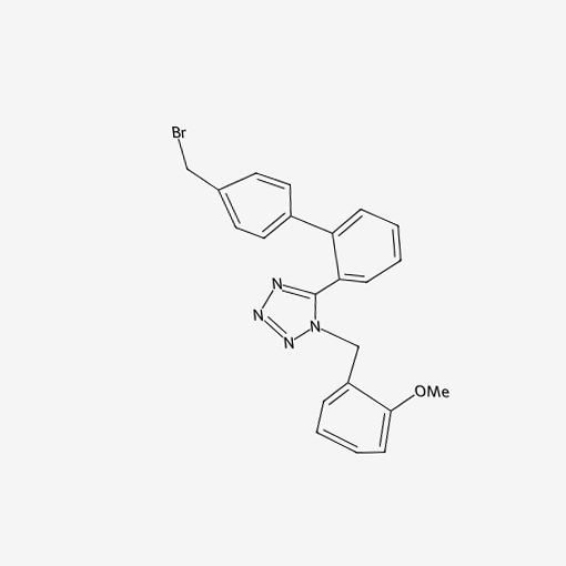 COc1ccccc1Cn1nnnc1-c1ccccc1-c1ccc(CBr)cc1